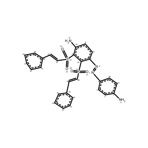 Nc1ccc(N=Nc2ccc(N)c(S(=O)(=O)C=Cc3ccccc3)c2S(=O)(=O)C=Cc2ccccc2)cc1